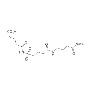 CNC(=O)CCCNC(=O)CCCS(=O)(=O)NC(=O)CCCC(=O)O